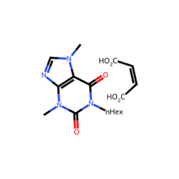 CCCCCCn1c(=O)c2c(ncn2C)n(C)c1=O.O=C(O)/C=C\C(=O)O